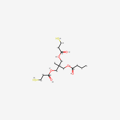 CCCC(=O)OCC(C)(COC(=O)CCS)COC(=O)CCS